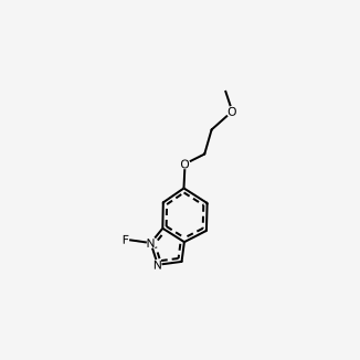 COCCOc1ccc2cnn(F)c2c1